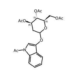 CC(=O)OC[C@H]1OC(Oc2cn(C(C)=O)c3ccccc23)C[C@@H](OC(C)=O)[C@@H]1OC(C)=O